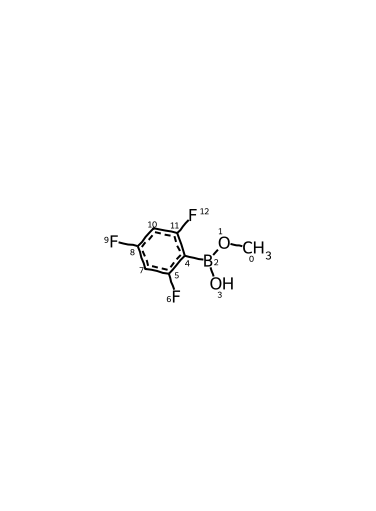 COB(O)c1c(F)cc(F)cc1F